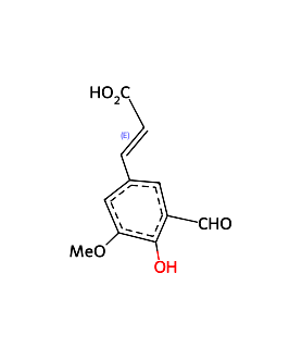 COc1cc(/C=C/C(=O)O)cc(C=O)c1O